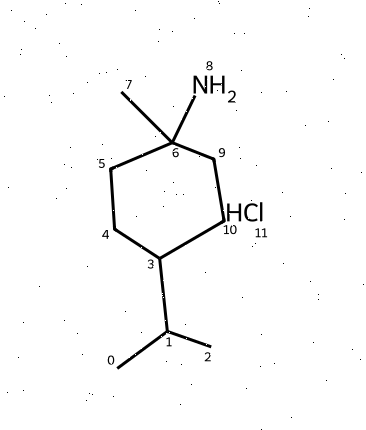 CC(C)C1CCC(C)(N)CC1.Cl